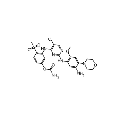 COc1cc(N2CCOCC2)c(N)cc1Nc1ncc(Cl)c(Nc2cc(OC(N)=O)ccc2S(C)(=O)=O)n1